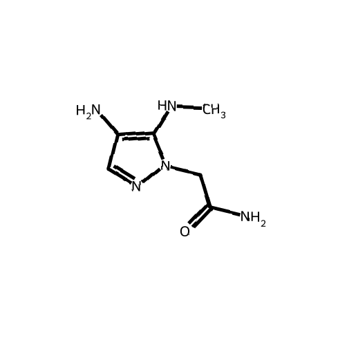 CNc1c(N)cnn1CC(N)=O